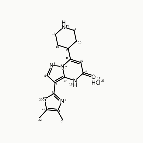 Cc1nc(-c2cnn3c(C4CCNCC4)cc(=O)[nH]c23)sc1C.Cl